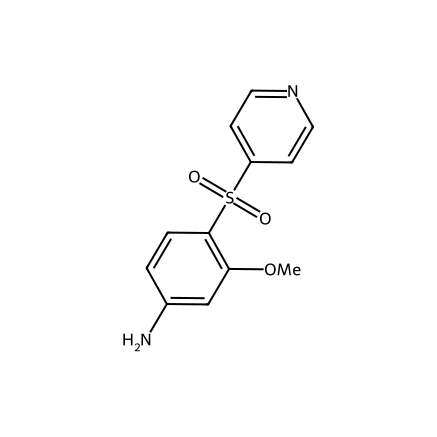 COc1cc(N)ccc1S(=O)(=O)c1ccncc1